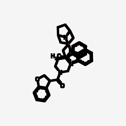 Cc1nc2ccccc2n1C1CC2CCC(C1)N2CCC1(c2ccccc2)CCN(C(=O)C2COc3ccccc32)CC1